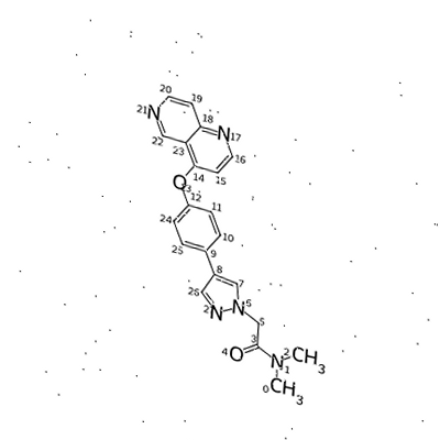 CN(C)C(=O)Cn1cc(-c2ccc(Oc3ccnc4ccncc34)cc2)cn1